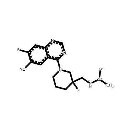 C[S+]([O-])NCC1(F)CCCN(c2ncnc3cc(F)c(C#N)cc23)C1